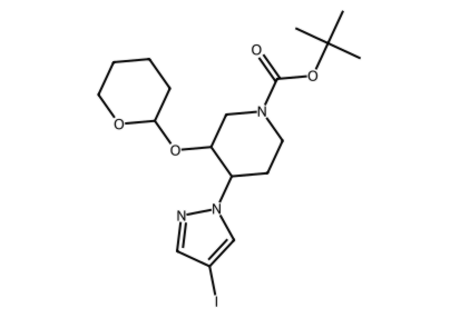 CC(C)(C)OC(=O)N1CCC(n2cc(I)cn2)C(OC2CCCCO2)C1